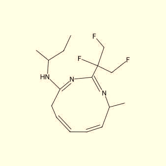 CCC(C)N/C1=N/C(C(F)(CF)CF)=N\C(C)/C=C\C=C/C1